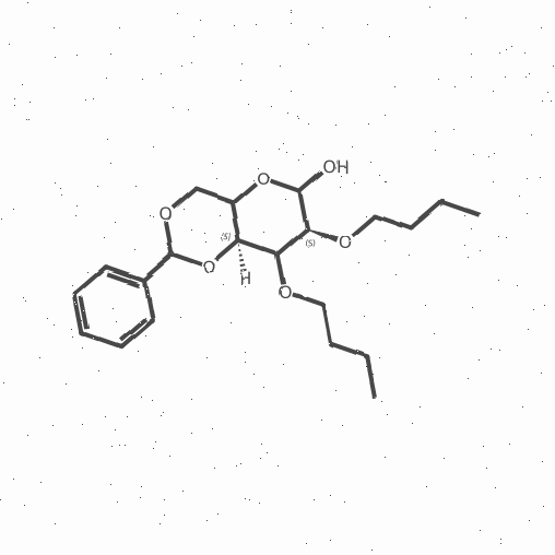 CCCCOC1[C@H](OCCCC)C(O)OC2COC(c3ccccc3)O[C@@H]21